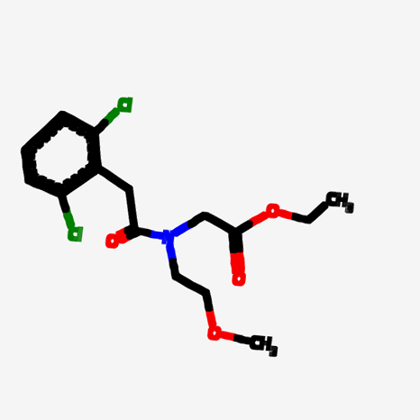 CCOC(=O)CN(CCOC)C(=O)Cc1c(Cl)cccc1Cl